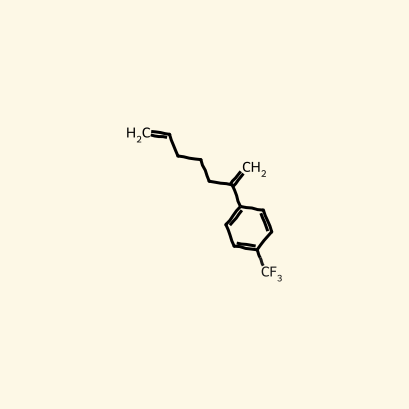 C=CCCCC(=C)c1ccc(C(F)(F)F)cc1